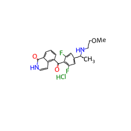 COCCN[C@@H](C)c1cc(F)c(C(=O)c2cccc3c(=O)[nH]ccc23)c(F)c1.Cl